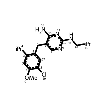 COc1cc(C(C)C)c(Cc2cnc(NCC(C)C)nc2N)cc1Cl